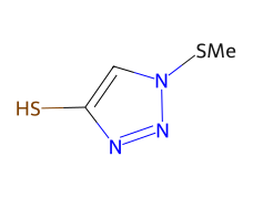 CSn1cc(S)nn1